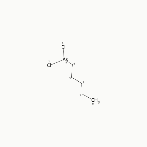 CCCCC[As](Cl)Cl